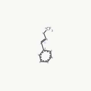 FC(F)(F)[CH]/C=C/c1ccccc1